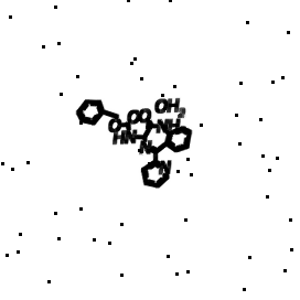 O.O=C(NC1N=C(c2ccccn2)c2ccccc2NC1=O)OCc1ccccc1